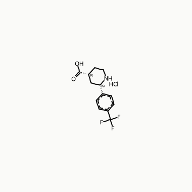 Cl.O=C(O)[C@@H]1CCN[C@H](c2ccc(C(F)(F)F)cc2)C1